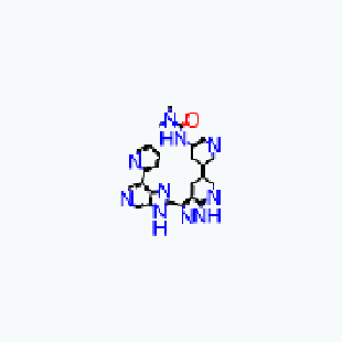 CN(C)C(=O)NC1=CN=CC(C2C=c3c(-c4nc5c(-c6ccccn6)cncc5[nH]4)n[nH]c3=NC2)C1